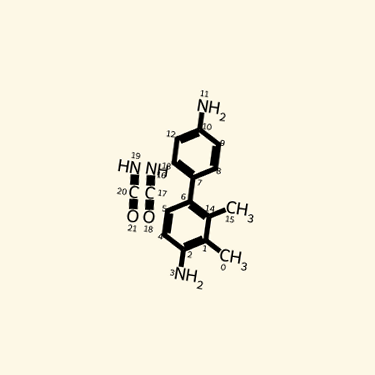 Cc1c(N)ccc(-c2ccc(N)cc2)c1C.N=C=O.N=C=O